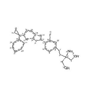 NC(CO)(CO)CCc1ccc(-c2nc3ccc(C4(c5ccccc5)CC4)nc3s2)c(F)c1